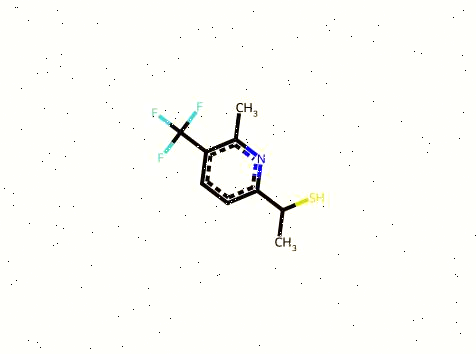 Cc1nc(C(C)S)ccc1C(F)(F)F